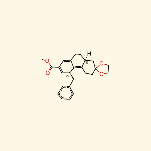 COC(=O)C1=C[C@H](Cc2ccccc2)C2=C3CCC4(C[C@@H]3CCC2=C1)OCCO4